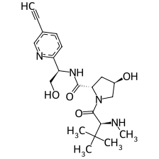 C#Cc1ccc([C@H](CO)NC(=O)[C@@H]2C[C@@H](O)CN2C(=O)[C@@H](NC)C(C)(C)C)nc1